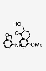 COc1cccc2c1CCC(C)C2=O.Cl.Nc1cccc2c1CO2